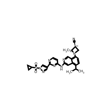 CC(C)c1ccc(N2C[C@H](C#N)[C@H]2C)c2cnc(Nc3ccnc(-c4cnn(S(=O)(=O)C5CC5)c4)n3)cc12